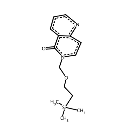 C[Si](C)(C)CCOCn1ccc2ncccc2c1=O